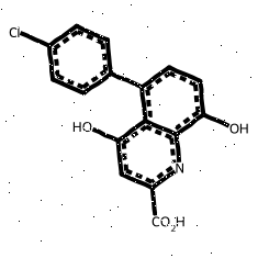 O=C(O)c1cc(O)c2c(-c3ccc(Cl)cc3)ccc(O)c2n1